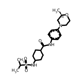 CC(C)S(=O)(=O)NC1CCC(C(=O)Nc2ccc(N3CCO[C@H](C)C3)cc2)CC1